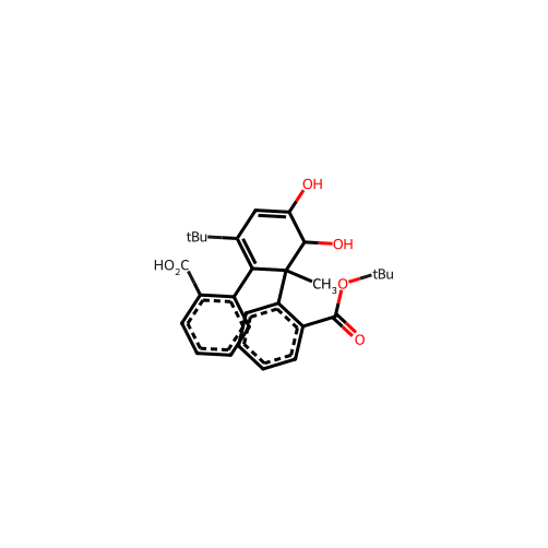 CC(C)(C)OC(=O)c1ccccc1C1(C)C(c2ccccc2C(=O)O)=C(C(C)(C)C)C=C(O)C1O